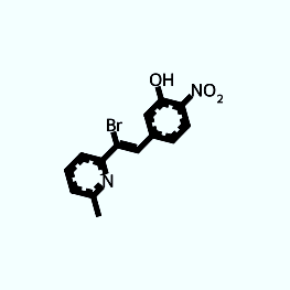 Cc1cccc(C(Br)=Cc2ccc([N+](=O)[O-])c(O)c2)n1